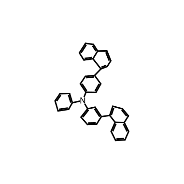 c1ccc(N(c2ccc(-c3cccc4ccccc34)cc2)c2cccc(-c3cccc4ccccc34)c2)cc1